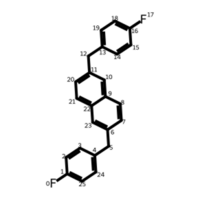 Fc1ccc(Cc2ccc3cc(Cc4ccc(F)cc4)ccc3c2)cc1